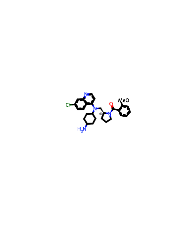 COc1ccccc1C(=O)N1CCC[C@H]1CN(c1ccnc2cc(Cl)ccc12)C1CCC(N)CC1